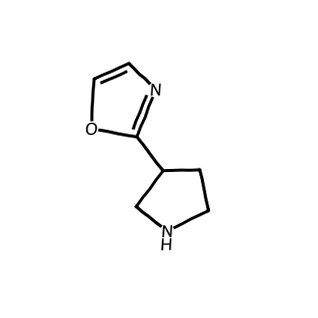 c1coc(C2CCNC2)n1